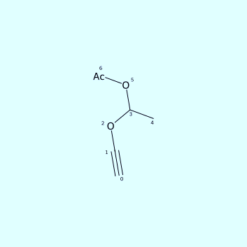 C#COC(C)OC(C)=O